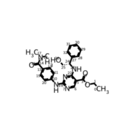 CCOC(=O)c1cnc(Nc2ccc(C(=O)N(C)C)cc2)nc1N[C@H](CO)c1ccccc1